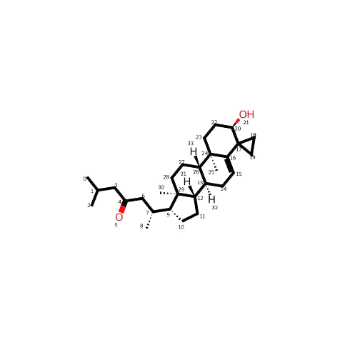 CC(C)CC(=O)C[C@@H](C)[C@H]1CC[C@H]2[C@@H]3CC=C4C5(CC5)[C@H](O)CC[C@]4(C)[C@H]3CC[C@]12C